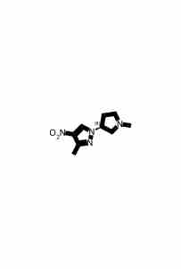 Cc1nn([C@@H]2CCN(C)C2)cc1[N+](=O)[O-]